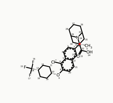 C[C@H](c1ccc2c(Cl)c(O[C@H]3CC[C@@H](C(F)(F)F)CC3)ccc2c1)N1C2CCCC1CC(C(=O)O)C2